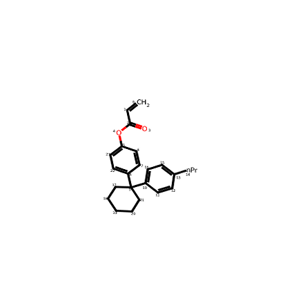 C=CC(=O)Oc1ccc(C2(c3ccc(CCC)cc3)CCCCC2)cc1